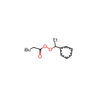 CCC(C)CC(=O)OOC(CC)c1ccccc1